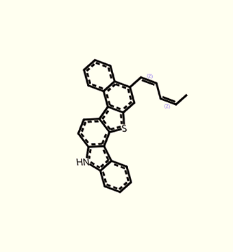 C/C=C\C=C/c1cc2sc3c(ccc4[nH]c5ccccc5c43)c2c2ccccc12